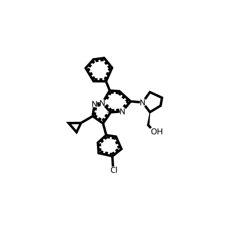 OC[C@@H]1CCCN1c1cc(-c2ccccc2)n2nc(C3CC3)c(-c3ccc(Cl)cc3)c2n1